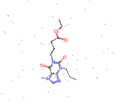 CCCn1c(=O)n(CCCC(=O)OCC)c(=O)c2c1ncn2C